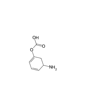 NC1C=CC=C(OC(=O)O)C1